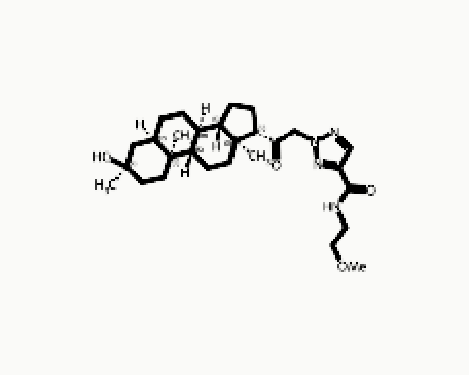 COCCNC(=O)c1cnn(CC(=O)[C@H]2CC[C@H]3[C@@H]4CC[C@@H]5C[C@](C)(O)CC[C@]5(C)[C@H]4CC[C@]23C)n1